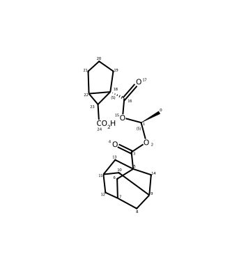 C[C@@H](OC(=O)C12CC3CC(CC(C3)C1)C2)OC(=O)[C@@]12CCCC1C2C(=O)O